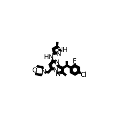 Cc1cc(Nc2cc(CN3CCOCC3)n3nc(C)c(C(C)c4ccc(Cl)cc4F)c3n2)n[nH]1